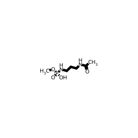 COP(=O)(O)NCCCNC(C)=O